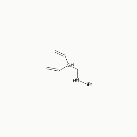 C=C[SiH](C=C)CNC(C)C